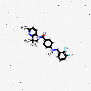 Cc1ccc2c(n1)C(C)(C)CN2C(=O)C1CCC(N(C)Cc2cccc(F)c2F)CC1